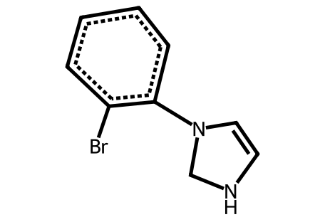 Brc1ccccc1N1C=CNC1